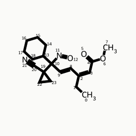 CCC(=C/C(=O)OC)/C=C/C(N=O)(C1CCCCC1)C1(C#N)CC1